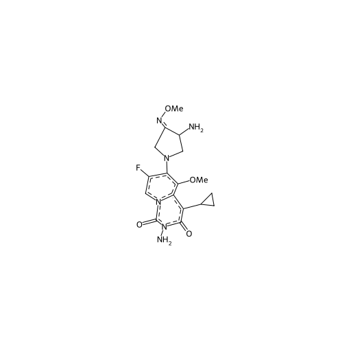 CON=C1CN(c2c(F)cn3c(=O)n(N)c(=O)c(C4CC4)c3c2OC)CC1N